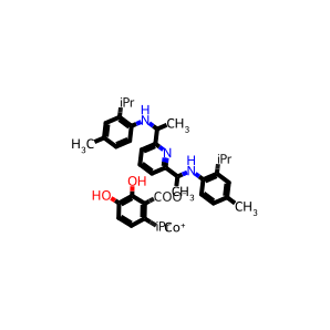 CC(C)c1ccc(O)c(O)c1C(=O)[O-].Cc1ccc(NC(C)c2cccc(C(C)Nc3ccc(C)cc3C(C)C)n2)c(C(C)C)c1.[Co+]